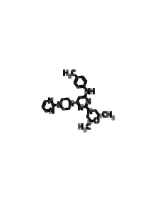 Cc1ccc(Nc2cc(N3CCN(c4ncccn4)CC3)nc(N3C[C@@H](C)O[C@@H](C)C3)n2)cc1